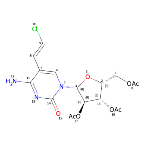 CC(=O)OC[C@H]1O[C@@H](n2cc(C=CCl)c(N)nc2=O)[C@H](OC(C)=O)[C@H]1OC(C)=O